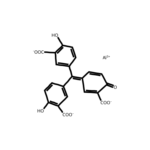 O=C([O-])C1=CC(=C(c2ccc(O)c(C(=O)[O-])c2)c2ccc(O)c(C(=O)[O-])c2)C=CC1=O.[Al+3]